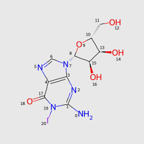 Nc1nc2c(ncn2[C@@H]2O[C@H](CO)[C@@H](O)[C@H]2O)c(=O)n1I